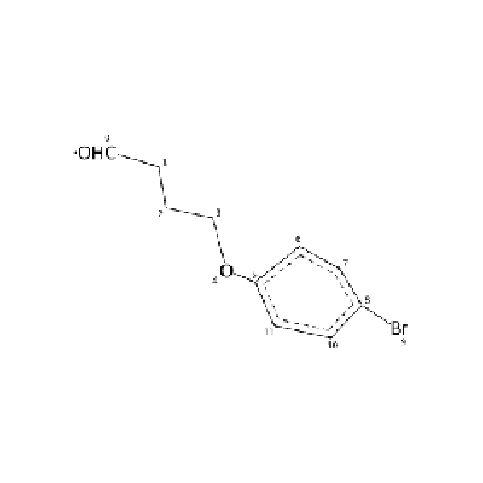 O=[C]CCCOc1ccc(Br)cc1